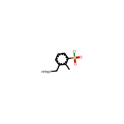 CCCCCCCCc1cccc(S(=O)(=O)Cl)c1C